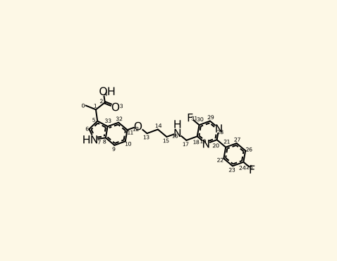 CC(C(=O)O)c1c[nH]c2ccc(OCCCNCc3nc(-c4ccc(F)cc4)ncc3F)cc12